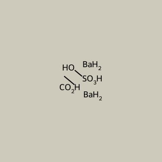 CC(=O)O.O=S(=O)(O)O.[BaH2].[BaH2]